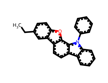 CCc1ccc2oc3c(ccc4c5ccccc5n(-c5ccccc5)c43)c2c1